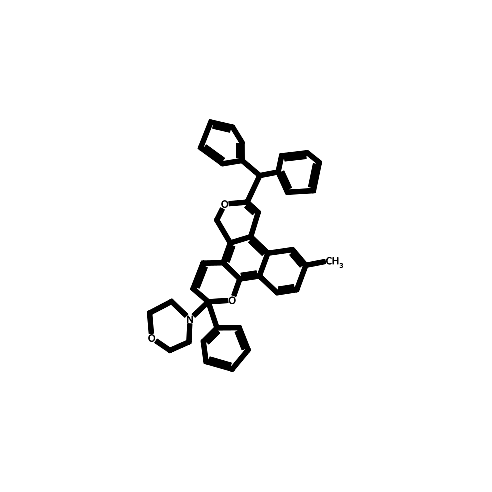 Cc1ccc2c3c(c4c(c2c1)C=C(C(c1ccccc1)c1ccccc1)OC4)C=CC(c1ccccc1)(N1CCOCC1)O3